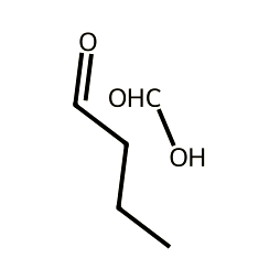 CCCC=O.O=CO